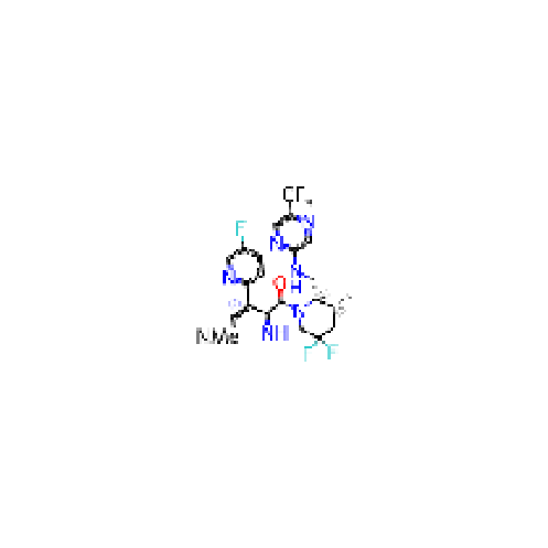 CN/C=C(\C(=N)C(=O)N1CC(F)(F)C[C@@H](C)[C@H]1CNc1cnc(C(F)(F)F)cn1)c1ccc(F)cn1